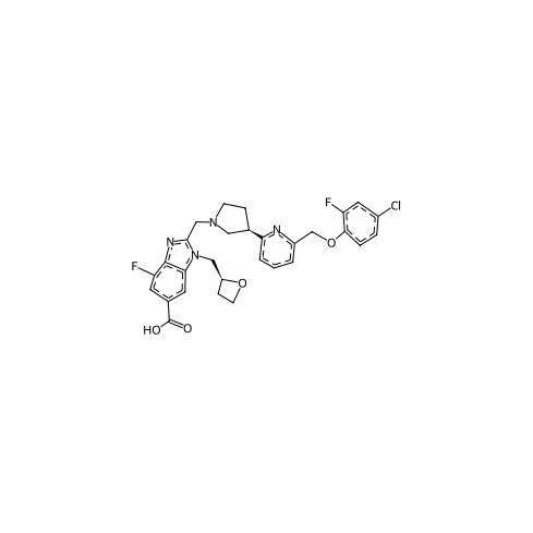 O=C(O)c1cc(F)c2nc(CN3CC[C@@H](c4cccc(COc5ccc(Cl)cc5F)n4)C3)n(C[C@@H]3CCO3)c2c1